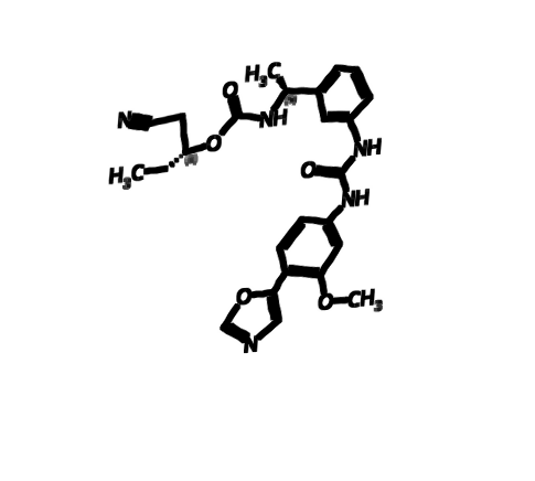 CC[C@H](CC#N)OC(=O)N[C@@H](C)c1cccc(NC(=O)Nc2ccc(-c3cnco3)c(OC)c2)c1